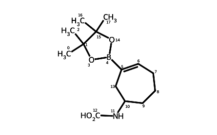 CC1(C)OB(C2=CCCCC(NC(=O)O)C2)OC1(C)C